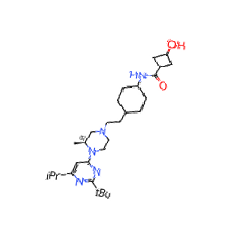 CC(C)c1cc(N2CCN(CCC3CCC(NC(=O)C4CC(O)C4)CC3)C[C@@H]2C)nc(C(C)(C)C)n1